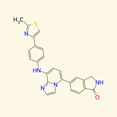 Cc1nc(-c2ccc(Nc3ccc(-c4ccc5c(c4)CNC5=O)n4ccnc34)cc2)cs1